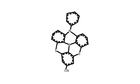 N#Cc1cc2c3c(c1)Sc1cccc4c1B3c1c(cccc1N4c1ccccc1)S2